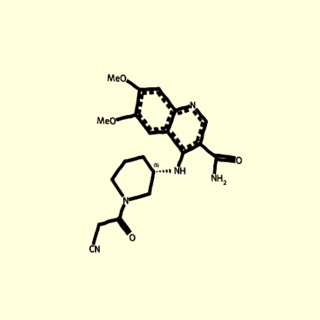 COc1cc2ncc(C(N)=O)c(N[C@H]3CCCN(C(=O)CC#N)C3)c2cc1OC